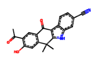 CC(=O)c1cc2c(cc1O)C(C)(C)c1[nH]c3cc(C#N)ccc3c1C2=O